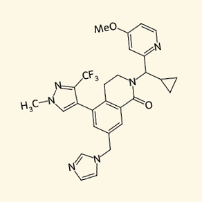 COc1ccnc(C(C2CC2)N2CCc3c(cc(Cn4ccnc4)cc3-c3cn(C)nc3C(F)(F)F)C2=O)c1